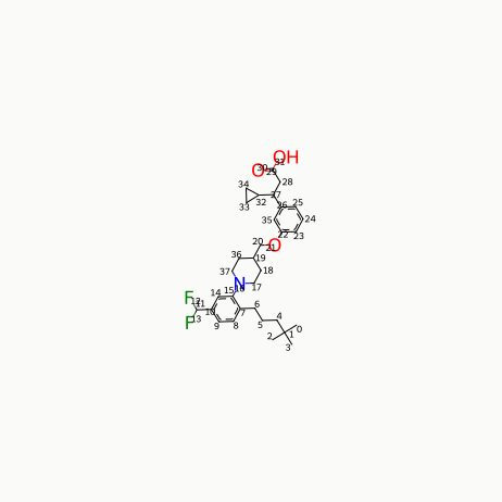 CC(C)(C)CCCc1ccc(C(F)F)cc1N1CCC(COc2cccc(C(CC(=O)O)C3CC3)c2)CC1